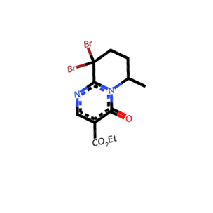 CCOC(=O)c1cnc2n(c1=O)C(C)CCC2(Br)Br